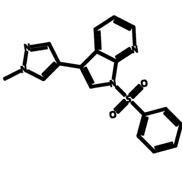 Cn1cc(-c2cn(S(=O)(=O)c3ccccc3)c3ncccc23)cn1